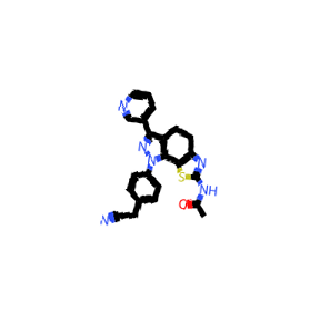 CC(=O)Nc1nc2c(s1)-c1c(c(-c3cccnc3)nn1-c1ccc(CC#N)cc1)CC2